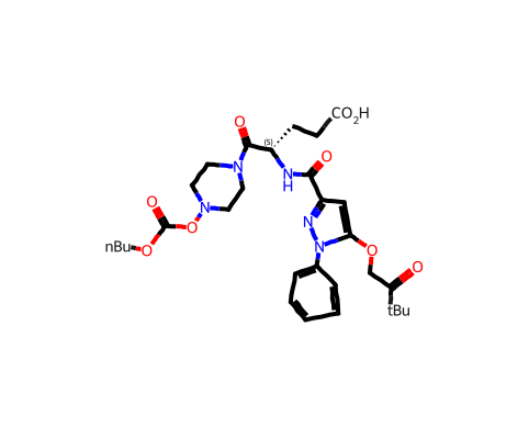 CCCCOC(=O)ON1CCN(C(=O)[C@H](CCC(=O)O)NC(=O)c2cc(OCC(=O)C(C)(C)C)n(-c3ccccc3)n2)CC1